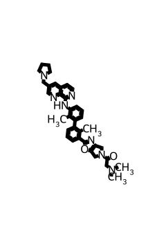 Cc1c(Nc2nccc3cc(CN4CCCC4)cnc23)cccc1-c1cccc(-c2nc3c(o2)CN(C(=O)CN(C)C)C3)c1C